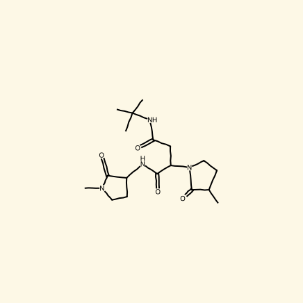 CC1CCN(C(CC(=O)NC(C)(C)C)C(=O)NC2CCN(C)C2=O)C1=O